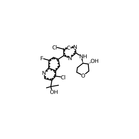 CC(C)(O)c1cnc2c(F)cc(-c3nc(N[C@@H]4CCOC[C@H]4O)ncc3Cl)cc2c1Cl